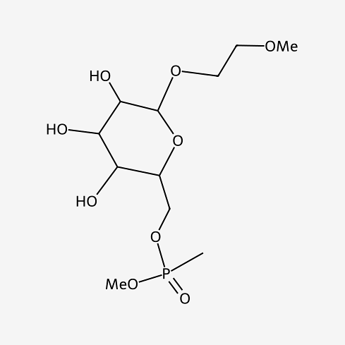 COCCOC1OC(COP(C)(=O)OC)C(O)C(O)C1O